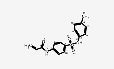 C=CC(=O)Nc1ccc(S(=O)(=O)Nc2ccc(C)cc2)cc1